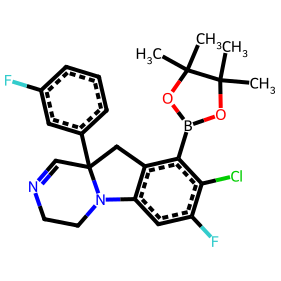 CC1(C)OB(c2c(Cl)c(F)cc3c2CC2(c4cccc(F)c4)C=NCCN32)OC1(C)C